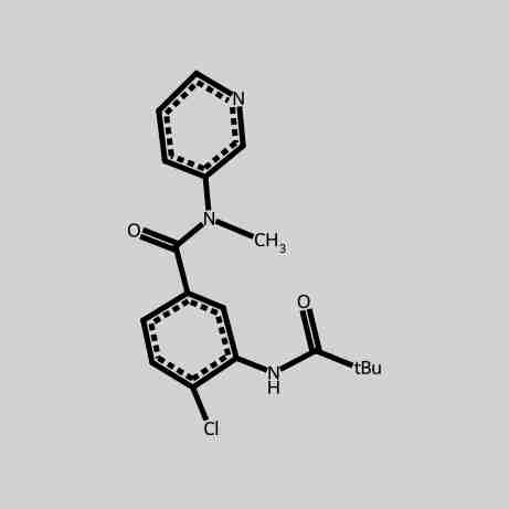 CN(C(=O)c1ccc(Cl)c(NC(=O)C(C)(C)C)c1)c1cccnc1